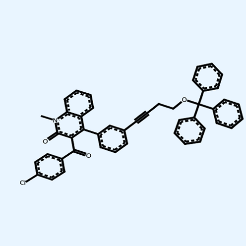 Cn1c(=O)c(C(=O)c2ccc(Cl)cc2)c(-c2cccc(C#CCCOC(c3ccccc3)(c3ccccc3)c3ccccc3)c2)c2ccccc21